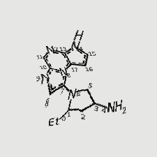 CCC1CC(N)CN1c1cnc2cnc3[nH]ccc3n12